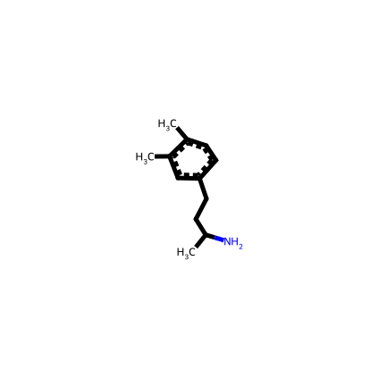 Cc1ccc(CCC(C)N)cc1C